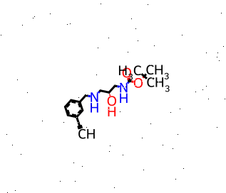 C#Cc1cccc(CNC[C@@H](O)CNC(=O)OC(C)(C)C)c1